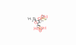 B[C@@H]1O[C@H](/C=C/P(=O)(O)O)C[C@H]1OP(C)(O)=S